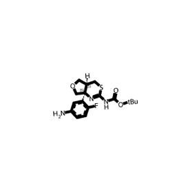 CC(C)(C)OC(=O)NC1=N[C@@]2(c3cc(N)ccc3F)COC[C@H]2CS1